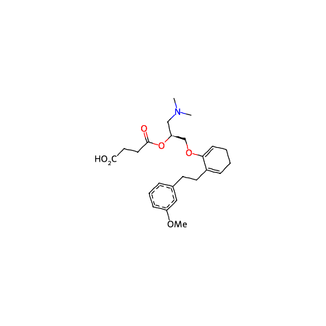 COc1cccc(CCC2=CCCC=C2OC[C@H](CN(C)C)OC(=O)CCC(=O)O)c1